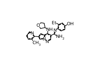 CCc1cc(O)ccc1N=C(N)c1cnn2cc(-c3ncccc3C)cc2c1NC1CCOC1